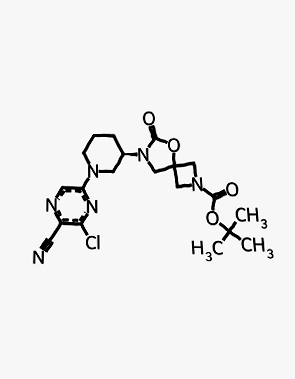 CC(C)(C)OC(=O)N1CC2(C1)CN([C@@H]1CCCN(c3cnc(C#N)c(Cl)n3)C1)C(=O)O2